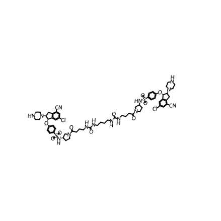 N#Cc1cc(Cl)cc2c1C[C@H](N1CCNCC1)[C@H]2Oc1ccc(S(=O)(=O)NC2CCN(C(=O)CCCNC(=O)NCCCCNC(=O)NCCCC(=O)N3CC[C@H](NS(=O)(=O)c4ccc(O[C@H]5c6cc(Cl)cc(C#N)c6C[C@@H]5N5CCNCC5)cc4)C3)C2)cc1